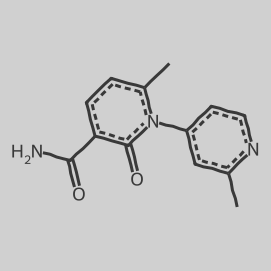 Cc1cc(-n2c(C)ccc(C(N)=O)c2=O)ccn1